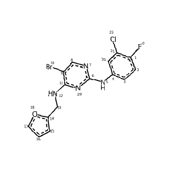 Fc1ccc(Nc2ncc(Br)c(NCc3ccco3)n2)cc1Cl